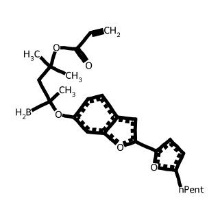 BC(C)(CC(C)(C)OC(=O)C=C)Oc1ccc2cc(-c3ccc(CCCCC)o3)oc2c1